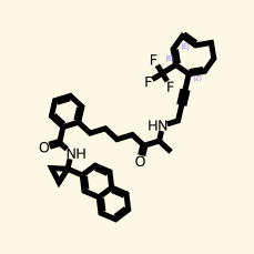 CC(NCC#CC1=C/CC/C=C/C=C\1C(F)(F)F)C(=O)CCCCc1ccccc1C(=O)NC1(c2ccc3ccccc3c2)CC1